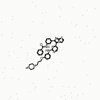 CN1CCN(CCCOc2cccc(Nc3nccc(-c4c(-c5cccc(NC(=O)c6ccccc6)c5)nc5sccn45)n3)c2)CC1